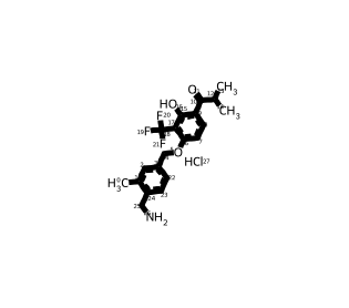 Cc1cc(COc2ccc(C(=O)C(C)C)c(O)c2C(F)(F)F)ccc1CN.Cl